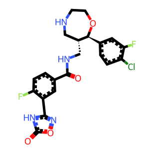 O=C(NC[C@@H]1CNCCO[C@H]1c1ccc(Cl)c(F)c1)c1ccc(F)c(-c2noc(=O)[nH]2)c1